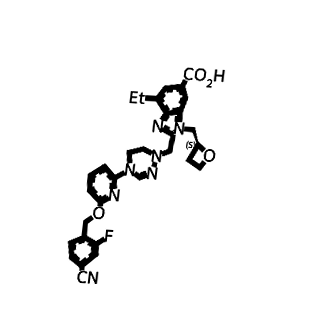 CCc1cc(C(=O)O)cc2c1nc(CN1CCN(c3cccc(OCc4ccc(C#N)cc4F)n3)C=N1)n2C[C@@H]1CCO1